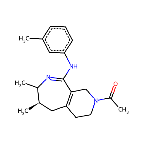 CC(=O)N1CCC2=C(C1)C(Nc1cccc(C)c1)=NC(C)[C@H](C)C2